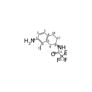 Nc1ccc2c(c1I)CC(NC(=O)C(F)(F)F)CC2